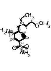 CCN(CCOC)Cc1ccc(S(N)(=O)=O)cc1N